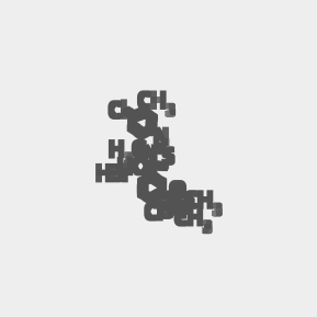 Br.Cc1cc(/N=C2/SCC(O)(c3ccc(Cl)c(S(=O)(=O)N(C)C)c3)N2C)ccc1Cl